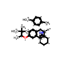 CC(Oc1ccc2c(c1)[C@@]13CCCC[C@H]1[C@@H](C2)NCC3)C(C)(C)C(=O)O.Cc1ccc(S(=O)(=O)O)cc1